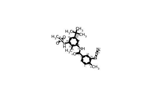 Cc1ccc(C(=O)Nc2cc(C(C)(C)C)cc(NS(C)(=O)=O)c2C)cc1N=[N+]=[N-]